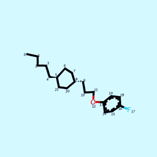 CCCCC[C@H]1CC[C@H](CCCOc2ccc(F)cc2)CC1